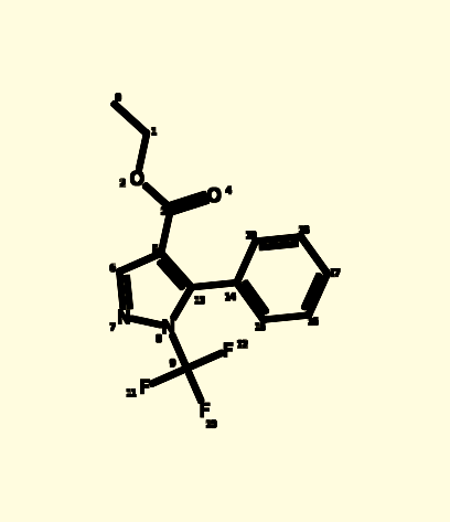 CCOC(=O)c1cnn(C(F)(F)F)c1-c1ccccc1